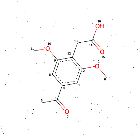 COc1cc(C(C)=O)cc(OC)c1CC(=O)O